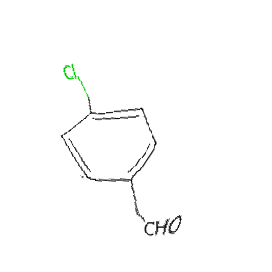 O=Cc1[c]cc(Cl)cc1